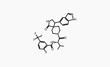 CC(C)[C@@H](NC(=O)c1cc(C(F)(F)F)ccc1F)C(=O)N1CCC2(CC1)C(=O)NCC2c1ccc2[nH]ncc2c1